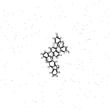 Cc1ccc2c(c1)Sc1cc(C)ccc1N2c1cccc2c(N3c4ccccc4Sc4cc5c(cc43)oc3ccccc35)cccc12